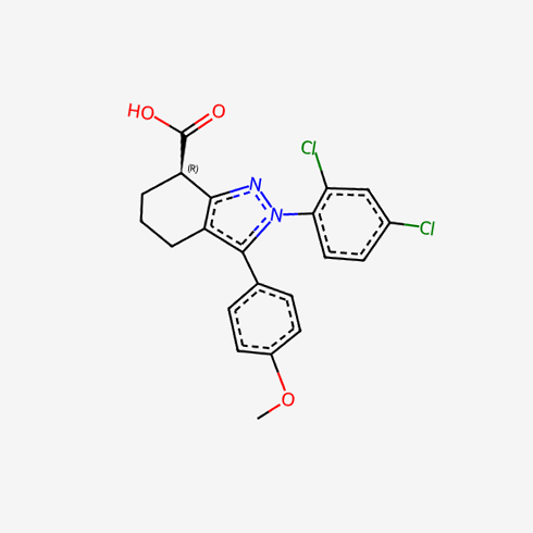 COc1ccc(-c2c3c(nn2-c2ccc(Cl)cc2Cl)[C@H](C(=O)O)CCC3)cc1